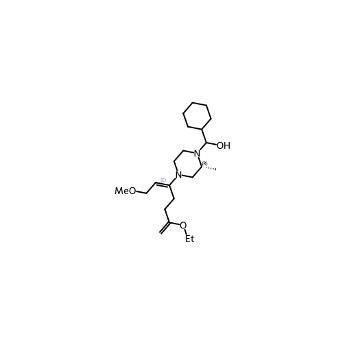 C=C(CC/C(=C\COC)N1CCN(C(O)C2CCCCC2)[C@H](C)C1)OCC